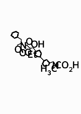 CCOC(C(=O)N1C(=O)OCC1Cc1ccccc1)C(O)c1ccc(-c2cccc(CN(C)C(=O)O)c2)cc1